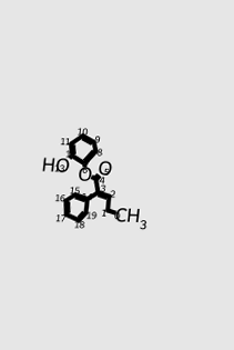 CCC=C(C(=O)Oc1ccccc1O)c1ccccc1